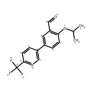 CC(C)Oc1ccc(-c2ccc(C(F)(F)F)nc2)cc1C=O